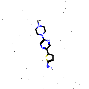 CC(C)N1CCN(c2cnc(C3CC=C(N)S3)cn2)CC1